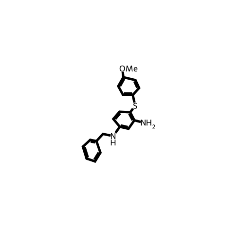 COc1ccc(Sc2ccc(NCc3ccccc3)cc2N)cc1